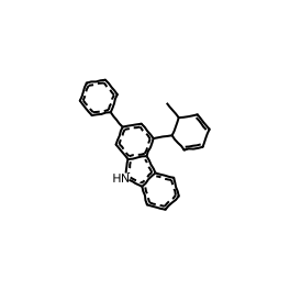 CC1C=CC=CC1c1cc(-c2ccccc2)cc2[nH]c3ccccc3c12